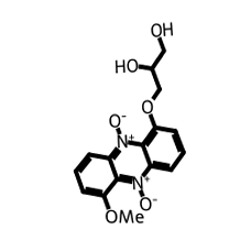 COc1cccc2c1[n+]([O-])c1cccc(OCC(O)CO)c1[n+]2[O-]